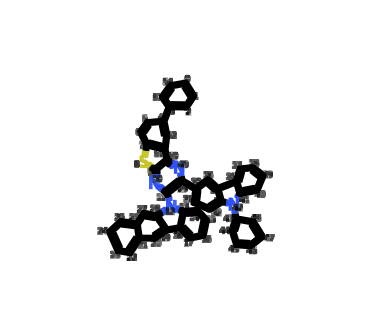 c1ccc(-c2ccc3sc4nc(-n5c6ccccc6c6cc7ccccc7cc65)c(-c5ccc6c(c5)c5ccccc5n6-c5ccccc5)nc4c3c2)cc1